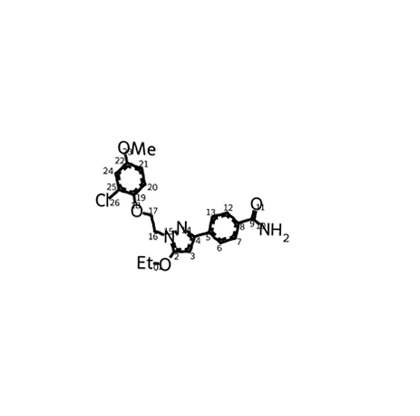 CCOc1cc(-c2ccc(C(N)=O)cc2)nn1CCOc1ccc(OC)cc1Cl